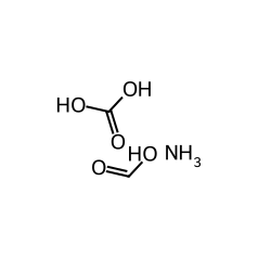 N.O=C(O)O.O=CO